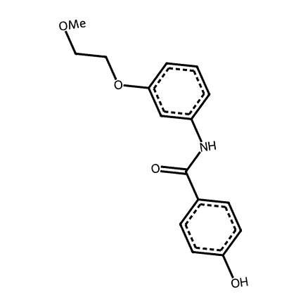 COCCOc1cccc(NC(=O)c2ccc(O)cc2)c1